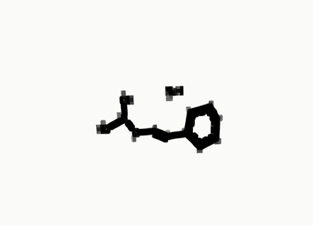 OB(O)OC=Cc1ccccc1.[NaH]